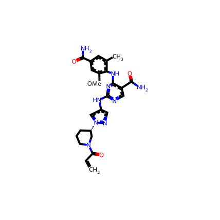 C=CC(=O)N1CCC[C@H](n2cc(Nc3ncc(C(N)=O)c(Nc4c(C)cc(C(N)=O)cc4OC)n3)cn2)C1